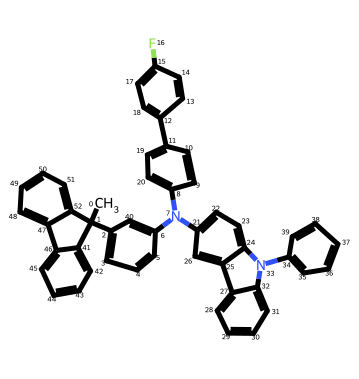 CC1(c2cccc(N(c3ccc(-c4ccc(F)cc4)cc3)c3ccc4c(c3)c3ccccc3n4-c3ccccc3)c2)c2ccccc2-c2ccccc21